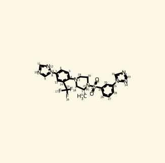 C[C@@H]1CN(c2ccc(-n3cncn3)cc2C(F)(F)F)CCN1S(=O)(=O)c1cccc(-n2cncn2)c1